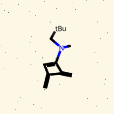 C=C1C=C(N(C)CC(C)(C)C)C1=C